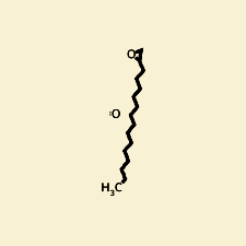 CCCCCCCCCCCCCCC1CO1.[O]